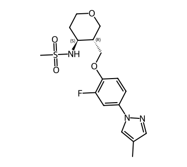 Cc1cnn(-c2ccc(OC[C@H]3COCC[C@@H]3NS(C)(=O)=O)c(F)c2)c1